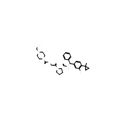 CC1(c2ccc([C@@H](NC(=O)[C@@H]3CCCN3C(=O)COC(=O)N3CCN(CC(F)(F)F)CC3)c3ccccc3)cc2F)CC1